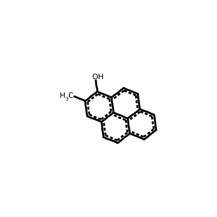 Cc1cc2ccc3cccc4ccc(c1O)c2c34